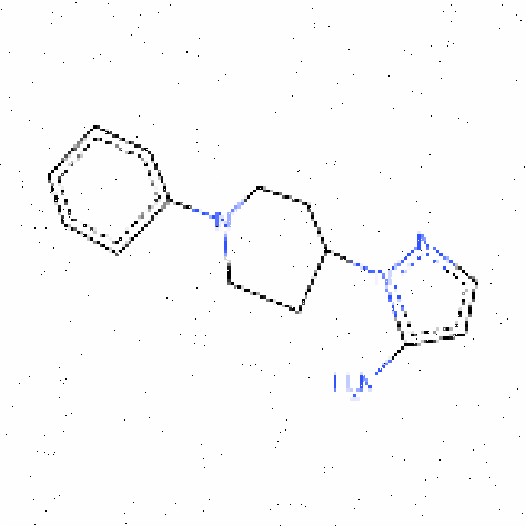 Nc1ccnn1C1CCN(c2ccccc2)CC1